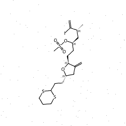 C=C(I)[C@H](C)C[C@@H](CC[C@@H]1O[C@@H](CCC2SCCCS2)CC1=C)OS(C)(=O)=O